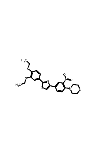 CCOc1ccc(-c2nc(-c3ccc(N4CCOCC4)c([N+](=O)[O-])c3)cs2)cc1OCC